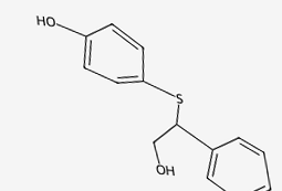 OCC(Sc1ccc(O)cc1)c1ccccc1